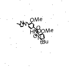 COc1cc(C(=O)NS(=O)(=O)c2nc(C(C)(C)C)ccc2OC)ccc1Cn1ccc(C)n1